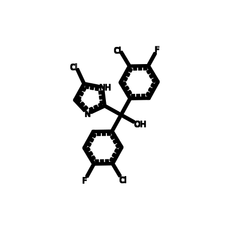 OC(c1ccc(F)c(Cl)c1)(c1ccc(F)c(Cl)c1)c1ncc(Cl)[nH]1